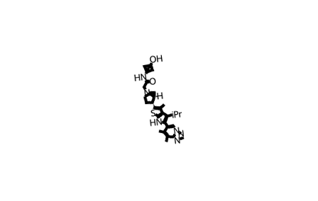 Cc1c(-c2[nH]c3sc([C@@H]4CC5C[C@H]4CN5CC(=O)NC45CC(O)(C4)C5)c(C)c3c2C(C)C)cn2ncnc2c1C